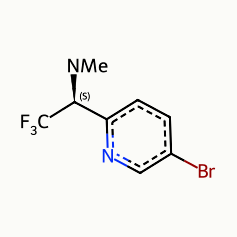 CN[C@@H](c1ccc(Br)cn1)C(F)(F)F